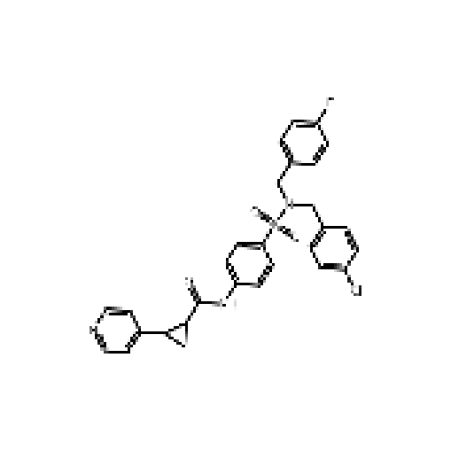 O=C(Nc1ccc(S(=O)(=O)N(Cc2ccc(F)cc2)Cc2ccc(Cl)cc2)cc1)C1CC1c1ccncc1